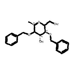 C[C@H]1OC(CO)[C@@H](OCc2ccccc2)[C@H](O)C1OCc1ccccc1